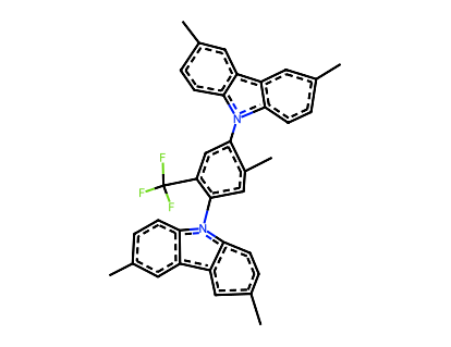 Cc1ccc2c(c1)c1cc(C)ccc1n2-c1cc(C(F)(F)F)c(-n2c3ccc(C)cc3c3cc(C)ccc32)cc1C